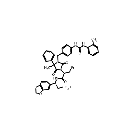 Cc1ccccc1NC(=O)Nc1ccc(CN2C(=O)N(C(CC(C)C)C(=O)N[C@@H](CC(=O)O)c3ccc4c(c3)OCO4)C(=O)C2(C)c2ccccc2)cc1